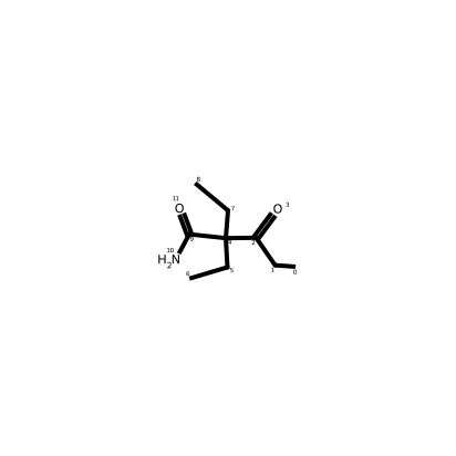 CCC(=O)C(CC)(CC)C(N)=O